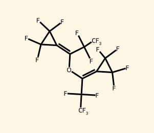 FC(F)(F)C(F)(F)C(OC(=C1C(F)(F)C1(F)F)C(F)(F)C(F)(F)F)=C1C(F)(F)C1(F)F